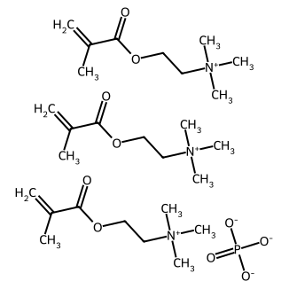 C=C(C)C(=O)OCC[N+](C)(C)C.C=C(C)C(=O)OCC[N+](C)(C)C.C=C(C)C(=O)OCC[N+](C)(C)C.O=P([O-])([O-])[O-]